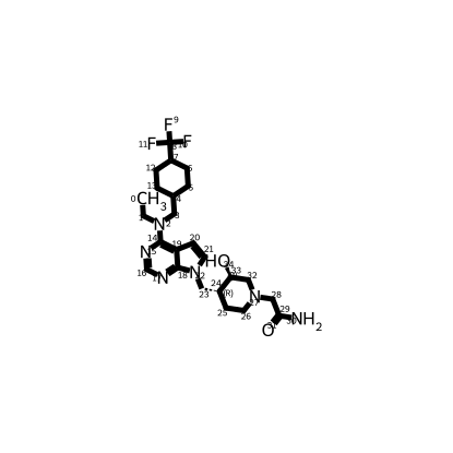 CCN(CC1CCC(C(F)(F)F)CC1)c1ncnc2c1ccn2C[C@H]1CCN(CC(N)=O)C[C@@H]1O